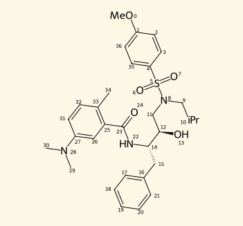 COc1ccc(S(=O)(=O)N(CC(C)C)C[C@@H](O)[C@H](Cc2ccccc2)NC(=O)c2cc(N(C)C)ccc2C)cc1